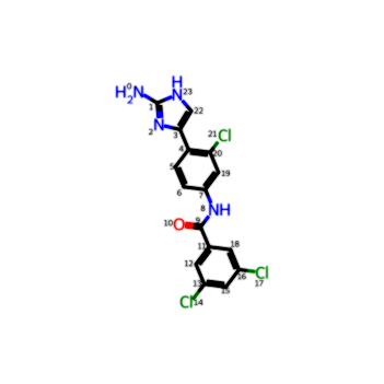 Nc1nc(-c2ccc(NC(=O)c3cc(Cl)cc(Cl)c3)cc2Cl)c[nH]1